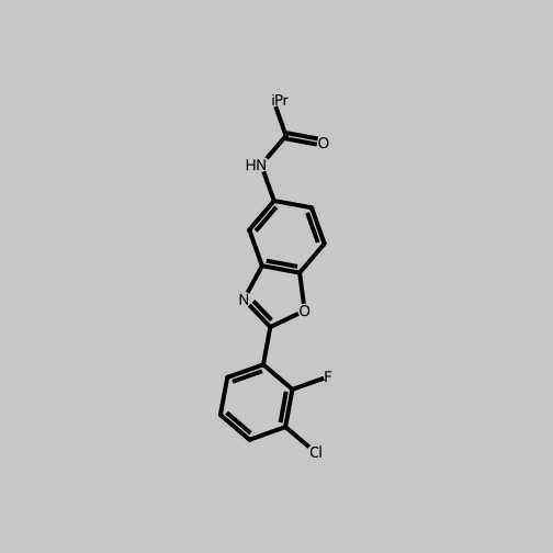 CC(C)C(=O)Nc1ccc2oc(-c3cccc(Cl)c3F)nc2c1